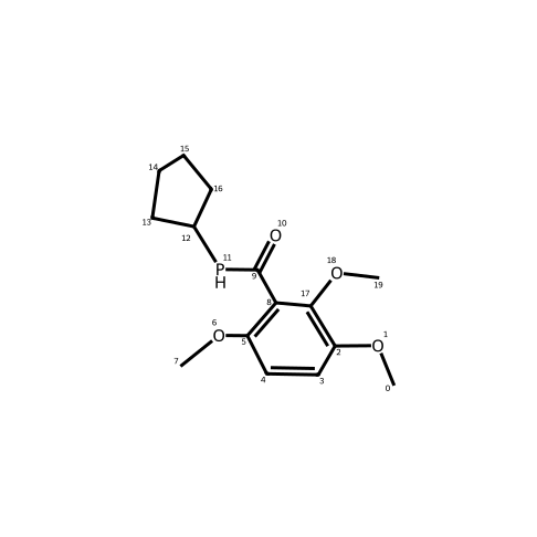 COc1ccc(OC)c(C(=O)PC2CCCC2)c1OC